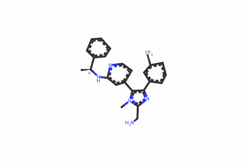 C[C@H](Nc1cc(-c2c(-c3cccc(C(F)(F)F)c3)nc(CN)n2C)ccn1)c1ccccc1